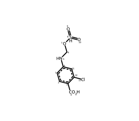 O=C(O)c1ccc(NCO[SH](=O)=O)cc1Cl